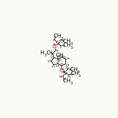 CC[Si](CC)(CC)OCC(C)C1CCC2C(O[Si](CC)(CC)CC)CCCC12C